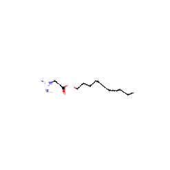 CCCCCCCCOC(=O)CN(C)C